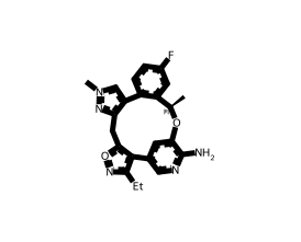 CCc1noc2c1-c1cnc(N)c(c1)O[C@H](C)c1cc(F)ccc1-c1cn(C)nc1C2